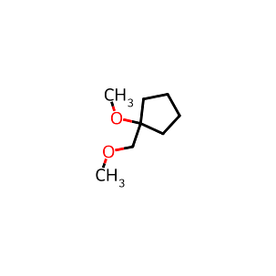 COCC1(OC)CCCC1